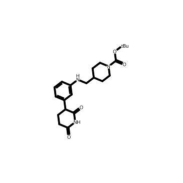 CC(C)(C)OC(=O)N1CCC(CNc2cccc(C3CCC(=O)NC3=O)c2)CC1